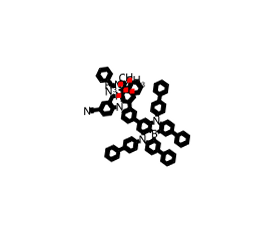 CC(C)(C)c1ccc2c3cc(-c4cc5c6c(c4)N(c4ccc(-c7ccccc7)cc4)c4ccc(-c7ccccc7)cc4B6c4cc(-c6ccccc6)ccc4N5c4ccc(-c5ccccc5)cc4)ccc3n(-c3ccc(C#N)cc3-c3nc(-c4ccccc4)nc(-c4ccccc4)n3)c2c1